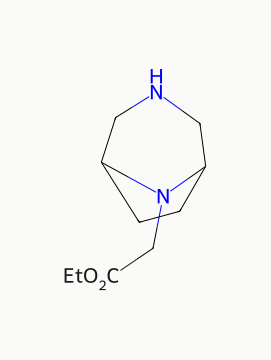 CCOC(=O)CN1C2CCC1CNC2